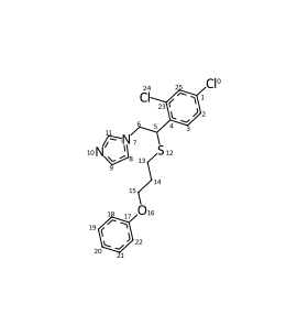 Clc1ccc(C(Cn2ccnc2)SCCCOc2ccccc2)c(Cl)c1